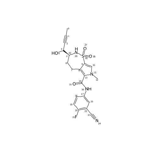 CC#CC(O)[C@@H]1CCc2c(cn(C)c2C(=O)Nc2ccc(F)c(C#N)c2)S(=O)(=O)N1